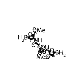 B[C@H]1CC(NC(=O)CSP(=O)(O)OC[C@H]2O[C@@H](B)CC2OC)[C@@H](COC)O1